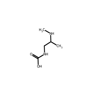 CNC(C)CNC(=O)O